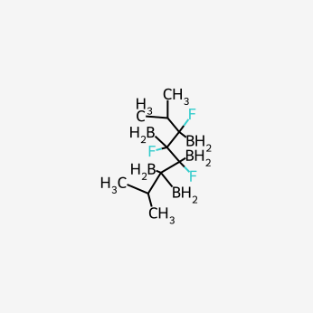 BC(B)(C(C)C)C(B)(F)C(B)(F)C(B)(F)C(C)C